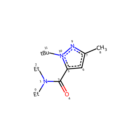 CCN(CC)C(=O)c1cc(C)nn1C(C)(C)C